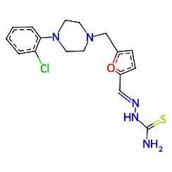 NC(=S)N/N=C/c1ccc(CN2CCN(c3ccccc3Cl)CC2)o1